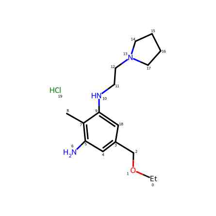 CCOCc1cc(N)c(C)c(NCCN2CCCC2)c1.Cl